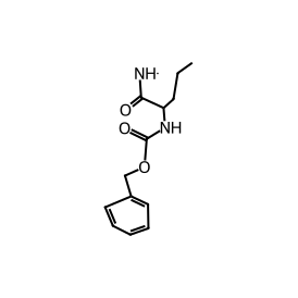 CCCC(NC(=O)OCc1ccccc1)C([NH])=O